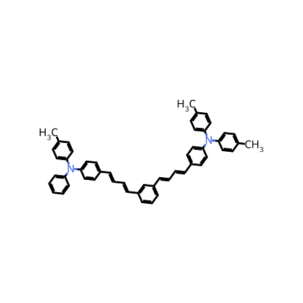 Cc1ccc(N(c2ccccc2)c2ccc(C=CC=Cc3cccc(C=CC=Cc4ccc(N(c5ccc(C)cc5)c5ccc(C)cc5)cc4)c3)cc2)cc1